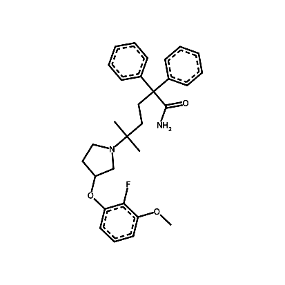 COc1cccc(OC2CCN(C(C)(C)CCC(C(N)=O)(c3ccccc3)c3ccccc3)C2)c1F